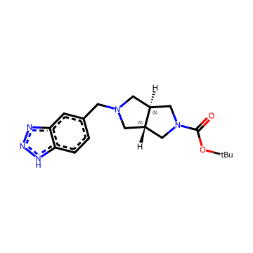 CC(C)(C)OC(=O)N1C[C@@H]2CN(Cc3ccc4[nH]nnc4c3)C[C@H]2C1